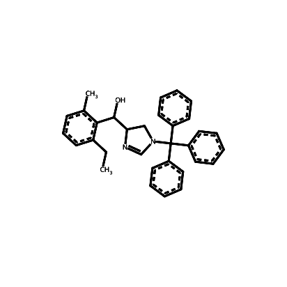 CCc1cccc(C)c1C(O)C1CN(C(c2ccccc2)(c2ccccc2)c2ccccc2)C=N1